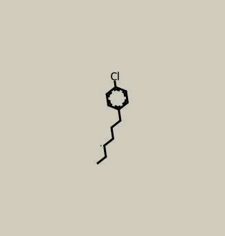 CC[CH]CCCc1ccc(Cl)cc1